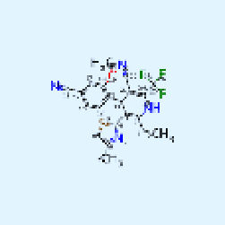 CCC1=C(c2nc(C)cs2)C(c2ccc(C#N)cc2OC)C(C#N)=C(C(F)(F)F)N1